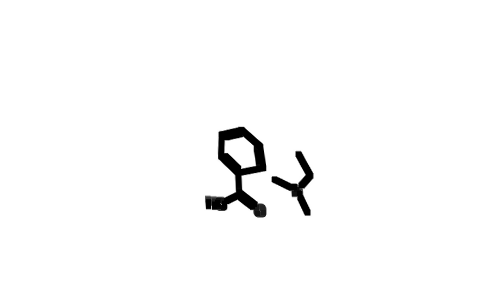 CCN(C)C.O=C(O)c1ccccc1